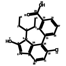 CCC(CC)n1c(O)nc2ncc(Cl)c(-c3cccc(C(=O)O)c3)c21